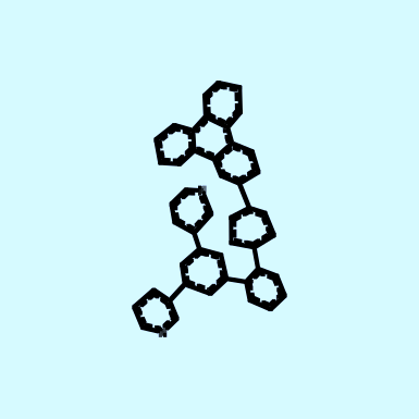 c1cncc(-c2cc(-c3cccnc3)cc(-c3ccccc3-c3ccc(-c4ccc5c6ccccc6c6ccccc6c5c4)cc3)c2)c1